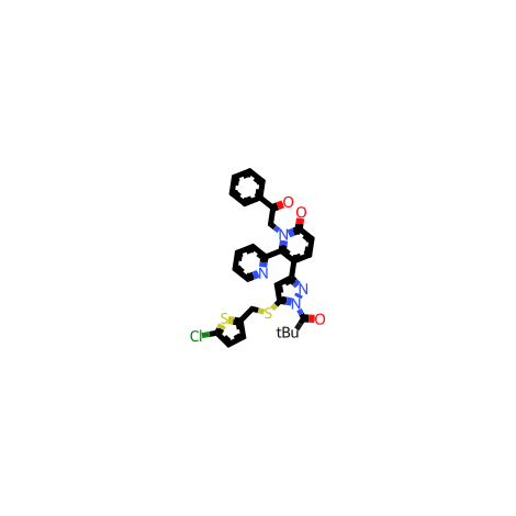 CC(C)(C)C(=O)n1nc(-c2ccc(=O)n(CC(=O)c3ccccc3)c2-c2ccccn2)cc1SCc1ccc(Cl)s1